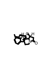 C=C1/C(=C\C=C/C)OC[C@@H]2CC(=O)N3CCc4c([nH]c5ccccc45)[C@@]123